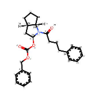 O=C(OCc1ccccc1)O[C@H]1C[C@@H]2CCC[C@@H]2N1C(=O)CCCc1ccccc1